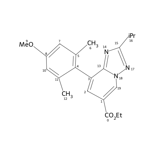 CCOC(=O)c1cc(-c2c(C)cc(OC)cc2C)c2nc(C(C)C)nn2c1